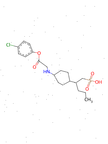 CCC[C](CS(=O)(=O)O)C1CCC(NCC(=O)Oc2ccc(Cl)cc2)CC1